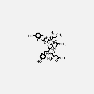 CC[C@H](C)[C@H](NC(=O)[C@H](CC(N)=O)NC(=O)[C@H](Cc1ccc(O)cc1)NC(=O)[C@@H](N)CC(=O)O)C(=O)N[C@@H](Cc1ccc(O)cc1)C(=O)O